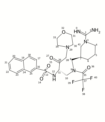 N=C(N)N1CCC[C@@H](CN(C[C@H](NS(=O)(=O)c2ccc3ccccc3c2)C(=O)CN2CCOCC2)C(=O)C(F)(F)F)C1